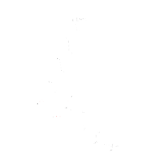 CCCCCCCCCCCCCCCCC(=O)OC(=O)CCCCCCCCCCCCCC